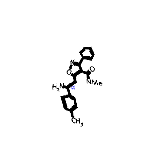 CNC(=O)c1c(-c2ccccc2)noc1/C=C(\N)c1ccc(C)cc1